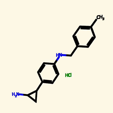 Cc1ccc(CNc2ccc(C3CC3N)cc2)cc1.Cl